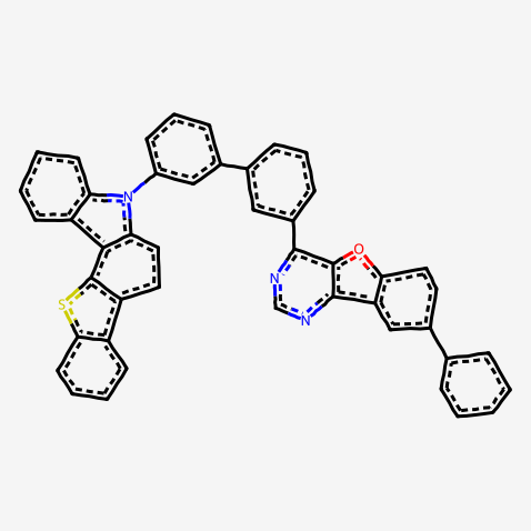 c1ccc(-c2ccc3oc4c(-c5cccc(-c6cccc(-n7c8ccccc8c8c9sc%10ccccc%10c9ccc87)c6)c5)ncnc4c3c2)cc1